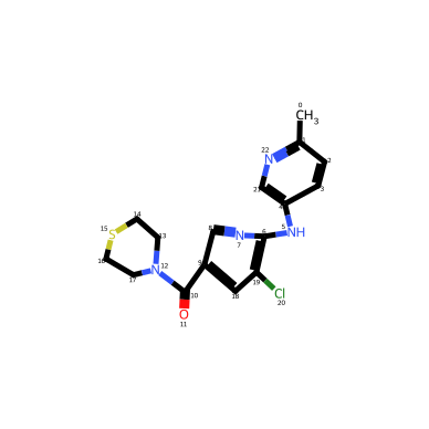 Cc1ccc(Nc2ncc(C(=O)N3CCSCC3)cc2Cl)cn1